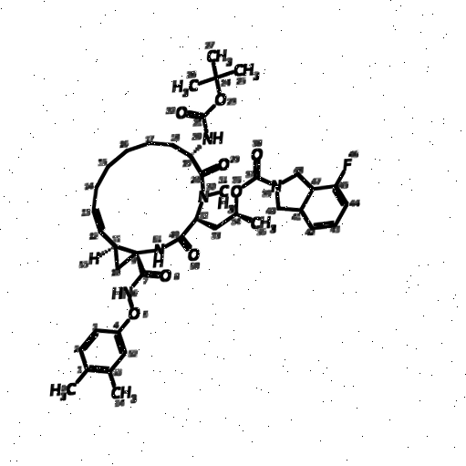 Cc1ccc(ONC(=O)[C@@]23C[C@H]2/C=C\CCCCC[C@H](NC(=O)OC(C)(C)C)C(=O)N(C)[C@@H](C[C@H](C)OC(=O)N2CC4C=CC=C(F)C4C2)C(=O)N3)cc1C